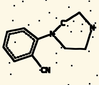 N#Cc1ccccc1N1CC[N]CC1